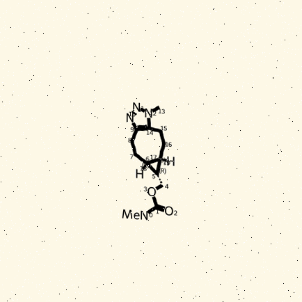 CNC(=O)OC[C@@H]1[C@@H]2CCc3nnn(C)c3CC[C@@H]21